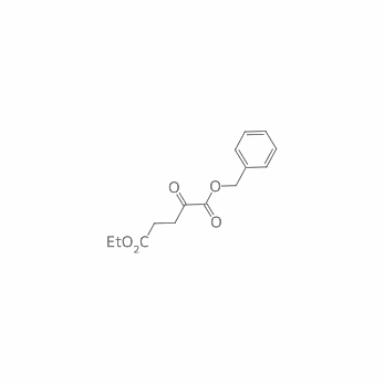 CCOC(=O)CCC(=O)C(=O)OCc1ccccc1